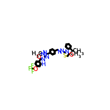 CC(C)c1ccccc1N1C(=O)CS/C1=N\N=C\c1ccc(-c2nc(NC(=O)c3ccc(OC(F)(F)F)cc3)n(C)n2)cc1